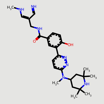 CN/C=C(\C=N)CNC(=O)c1ccc(O)c(-c2ccc(N(C)C3CC(C)(C)NC(C)(C)C3)nn2)c1